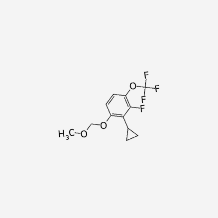 COCOc1ccc(OC(F)(F)F)c(F)c1C1CC1